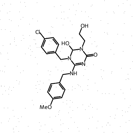 COc1ccc(CNC2=NC(=O)N(CCO)C(O)N2Cc2ccc(Cl)cc2)cc1